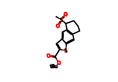 CC(C)(C)OC(=O)c1cc2cc3c(cc2s1)CCCC3S(C)(=O)=O